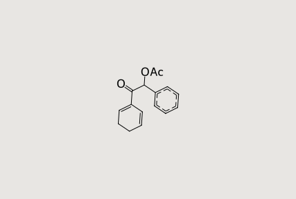 CC(=O)OC(C(=O)C1=CCCC=C1)c1ccccc1